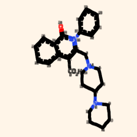 O=C(O)c1c(CN2CCC(N3CCCCC3)CC2)n(-c2ccccc2)c(=O)c2ccccc12